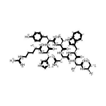 CC(=O)[C@@H](NC(=O)[C@@H](NC(=O)[C@H](Cc1c[nH]c2ccccc12)NC(=O)[C@H](CC(N)=O)NC(=O)[C@H](CC(C)C)NC(=O)[C@H](Cc1ccc(O)cc1)NC(=O)[C@H](Cc1c[nH]cn1)NC(=O)[C@@H](C)CCCNC(=N)N)C(C)C)[C@@H](C)O